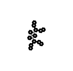 c1ccc2c(c1)B1c3ccccc3N(c3cc(-c4ccc5ccccc5c4)cc(-c4ccc5ccccc5c4)c3)c3cccc(c31)N2c1cc(-c2ccc3ccccc3c2)cc(-c2ccc3ccccc3c2)c1